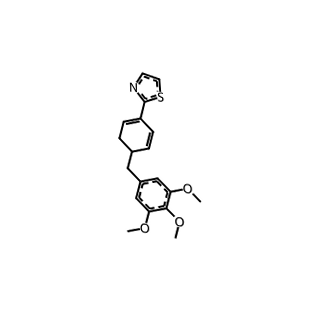 COc1cc(CC2C=CC(c3nccs3)=CC2)cc(OC)c1OC